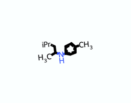 Cc1ccc(NC(C)CC(C)C)cc1